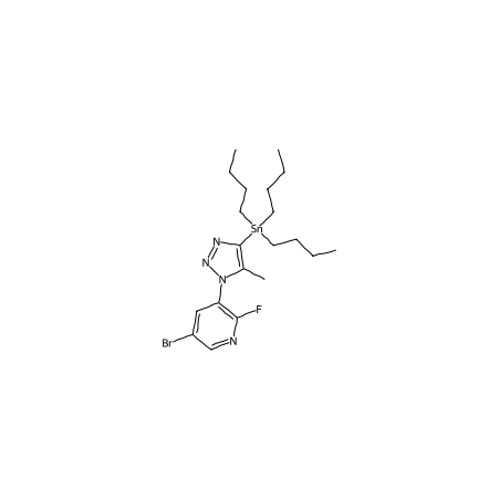 CCC[CH2][Sn]([CH2]CCC)([CH2]CCC)[c]1nnn(-c2cc(Br)cnc2F)c1C